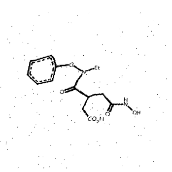 CCN(Oc1ccccc1)C(=O)C(CC(=O)O)CC(=O)NO